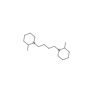 CC1CCCCN1CCCCN1CCCCC1C